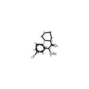 CC(=O)OC(C(=O)C1CCCCC1)c1cccc(F)c1